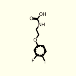 O=C(O)NCCOc1ccc(I)c(F)c1